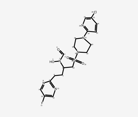 O=CN(O)C(CCc1ncc(F)cn1)CS(=O)(=O)N1CCN(c2ccc(Cl)cn2)CC1